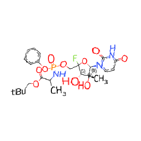 CC(NP(=O)(OCC1(F)O[C@@H](n2ccc(=O)[nH]c2=O)[C@](C)(O)[C@@H]1O)Oc1ccccc1)C(=O)OCC(C)(C)C